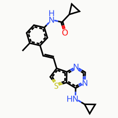 Cc1ccc(NC(=O)C2CC2)cc1C=Cc1csc2c(NC3CC3)ncnc12